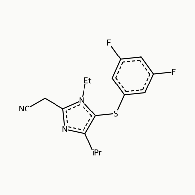 CCn1c(CC#N)nc(C(C)C)c1Sc1cc(F)cc(F)c1